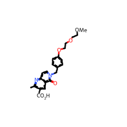 COCCOCCOc1ccc(Cn2ccc3nc(C)c(C(=O)O)cc3c2=O)cc1